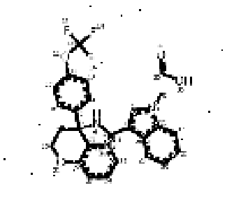 Cn1cc(C(=O)N[C@]2(c3ccc(OC(F)(F)F)cc3)CCOc3cccnc32)c2ccccc21.O=CO